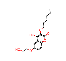 CCCCCCOc1c(O)c2cc(OCCO)ccc2oc1=O